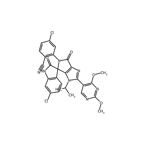 COc1ncc(-c2nc3c(n2C(C)C)C2(C(=O)Nc4cc(Cl)ccc42)N(c2cc(Cl)ccc2C#N)C3=O)c(OC)n1